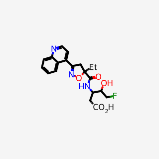 CCC1(C(=O)NC(CC(=O)O)C(O)CF)CC(c2ccnc3ccccc23)=NO1